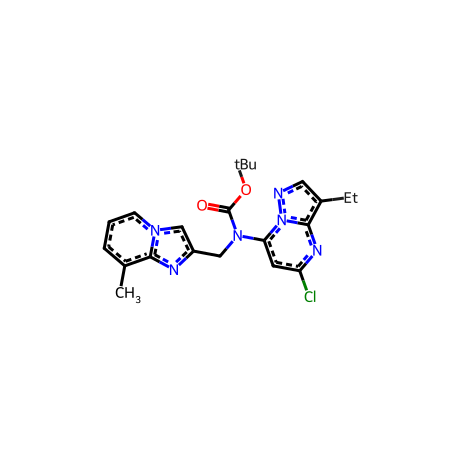 CCc1cnn2c(N(Cc3cn4cccc(C)c4n3)C(=O)OC(C)(C)C)cc(Cl)nc12